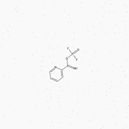 N=C(OP(=O)(F)F)c1ccccn1